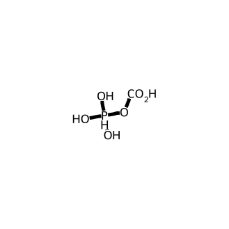 O=C(O)O[PH](O)(O)O